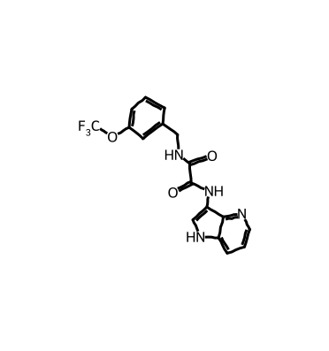 O=C(NCc1cccc(OC(F)(F)F)c1)C(=O)Nc1c[nH]c2cccnc12